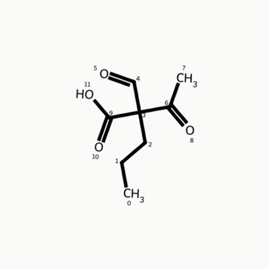 CCCC(C=O)(C(C)=O)C(=O)O